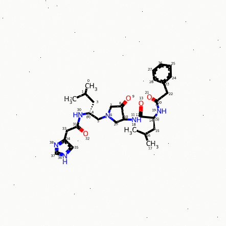 CC(C)C[C@H](CN1CC(=O)C(NC(=O)[C@H](CC(C)C)NC(=O)Cc2ccccc2)C1)NC(=O)Cc1c[nH]cn1